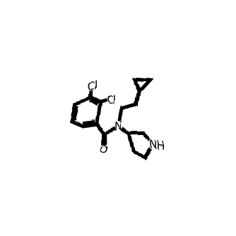 O=C(c1cccc(Cl)c1Cl)N(CCC1CC1)C1CCNC1